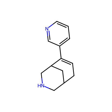 C1=C(c2cccnc2)C2CNCC(C1)C2